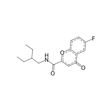 CCC(CC)CNC(=O)c1cc(=O)c2cc(F)ccc2o1